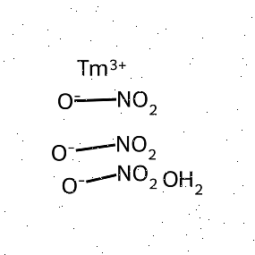 O.O=[N+]([O-])[O-].O=[N+]([O-])[O-].O=[N+]([O-])[O-].[Tm+3]